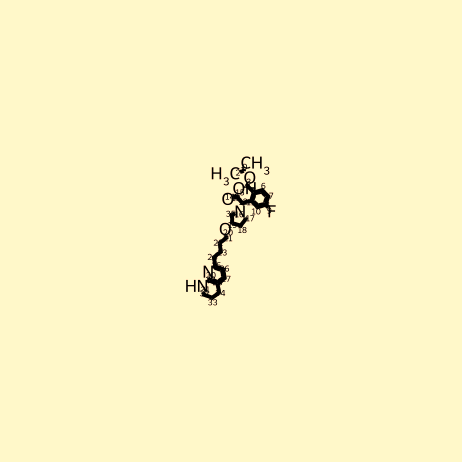 CC(C)OCc1ccc(F)cc1C(C(=O)O)N1CCC(OCCCCc2ccc3c(n2)NCCC3)C1